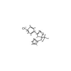 CC(C)(C)C1(Cn2cncn2)CC(c2ccc(Cl)cc2)=NO1